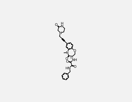 CN1C(=O)[C@@H](NC(=O)C(=O)NCc2ccccc2)COc2ccc(C#CCN3CCNC(=O)C3)cc21